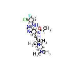 C=CC(=O)Nc1cc2c(Nc3ccc(F)c(Cl)c3)ncnc2cc1C#CC(C)(C)N1CCC(N(C)C)CC1